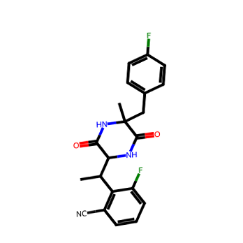 CC(c1c(F)cccc1C#N)C1NC(=O)C(C)(Cc2ccc(F)cc2)NC1=O